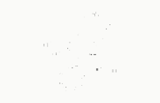 Cl.Cl.Clc1cc2ccccc2c(NC2CCNCC2)n1